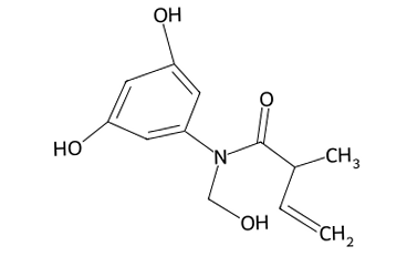 C=CC(C)C(=O)N(CO)c1cc(O)cc(O)c1